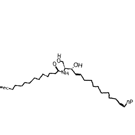 CCC/C=C\CCCCCCCC/C=C/[C@@H](O)[C@H](CO)NC(=O)CCCCCCCCCCCCCCCCCCCCC